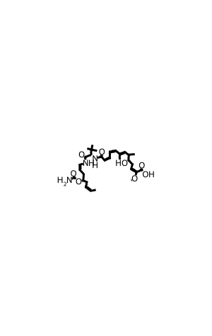 C/C=C\CC(C/C=C\NC(=O)C(NC(=O)\C=C/C=C\C(C)=C\C(C)C(O)C/C=C(/OC)C(=O)O)C(C)(C)C)OC(N)=O